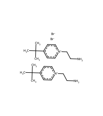 CC(C)(C)c1cc[n+](CCN)cc1.CC(C)(C)c1cc[n+](CCN)cc1.[Br-].[Br-]